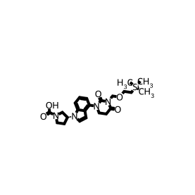 C[Si](C)(C)CCOCN1C(=O)CCN(c2cccc3c2ccn3[C@@H]2CCN(C(=O)O)C2)C1=O